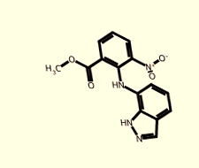 COC(=O)c1cccc([N+](=O)[O-])c1Nc1cccc2cn[nH]c12